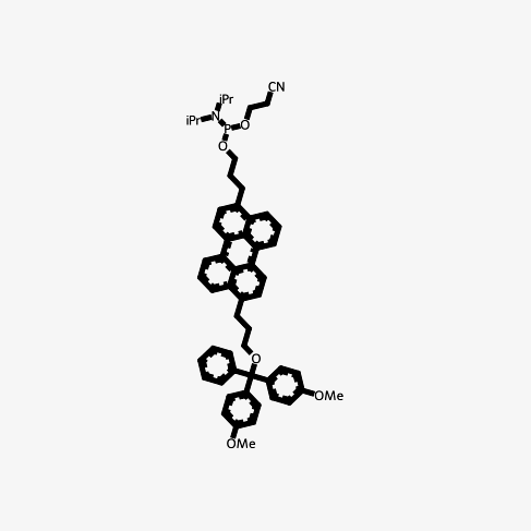 COc1ccc(C(OCCCc2ccc3c4cccc5c(CCCOP(OCCC#N)N(C(C)C)C(C)C)ccc(c6cccc2c63)c54)(c2ccccc2)c2ccc(OC)cc2)cc1